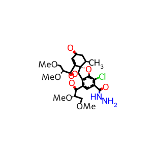 COC[C@H](OC)C(=O)C1=CC(=O)C[C@@H](C)[C@]12Oc1c(Cl)c(C(=O)NN)cc(C(=O)[C@H](COC)OC)c1C2=O